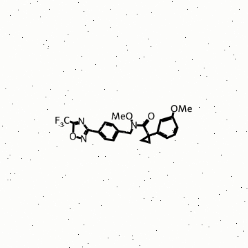 COc1cccc(C2(C(=O)N(Cc3ccc(-c4noc(C(F)(F)F)n4)cc3)OC)CC2)c1